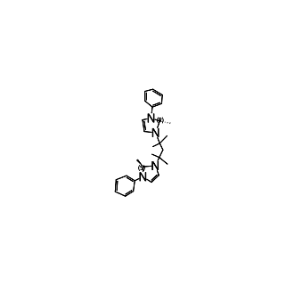 C[C@@H]1N(c2ccccc2)C=CN1C(C)(C)CC(C)(C)N1C=CN(c2ccccc2)[C@@H]1C